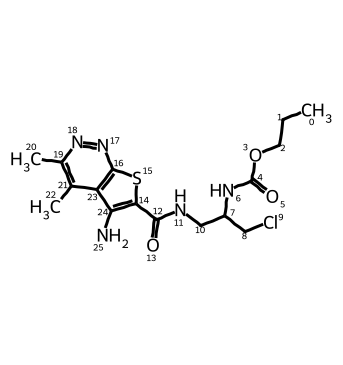 CCCOC(=O)NC(CCl)CNC(=O)c1sc2nnc(C)c(C)c2c1N